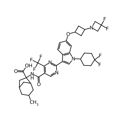 CC1CC2CC(C1)C(NC(=O)c1cnc(-c3cn(C4CCC(F)(F)CC4)c4cc(OC5CC(N6CC(F)(F)C6)C5)ccc34)nc1C(F)(F)F)(C(=O)O)C2